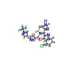 O=C(c1nnc(-c2cnn(C(F)(F)F)c2)o1)N1CCc2[nH]cnc2C1c1cc2c(Cl)cccn2n1